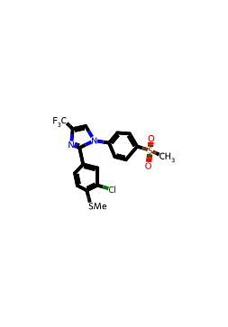 CSc1ccc(-c2nc(C(F)(F)F)cn2-c2ccc(S(C)(=O)=O)cc2)cc1Cl